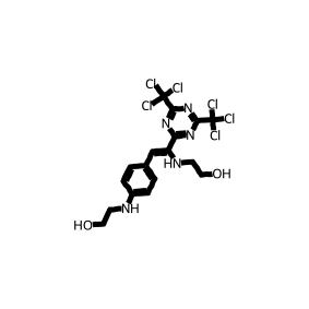 OCCNC(=Cc1ccc(NCCO)cc1)c1nc(C(Cl)(Cl)Cl)nc(C(Cl)(Cl)Cl)n1